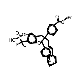 CC(C)OC(=O)c1ccc(C(C/C=C/c2ccccc2)(Cc2ccc(C(F)(F)P(=O)(O)O)cc2)C(=O)c2ccc(F)cc2)cc1